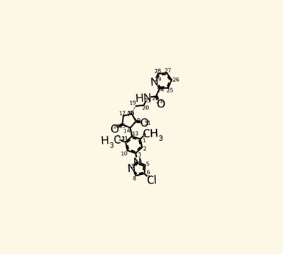 Cc1cc(-n2cc(Cl)cn2)cc(C)c1C1C(=O)C[C@H](CCNC(=O)c2ccccn2)C1=O